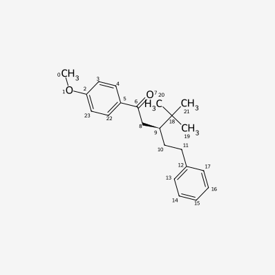 COc1ccc(C(=O)C[C@H](CCc2ccccc2)C(C)(C)C)cc1